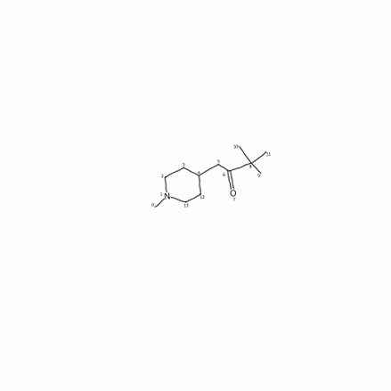 CN1CCC(CC(=O)C(C)(C)C)CC1